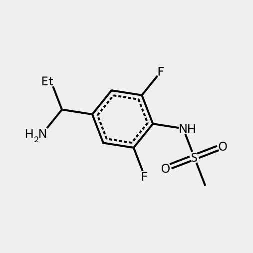 CCC(N)c1cc(F)c(NS(C)(=O)=O)c(F)c1